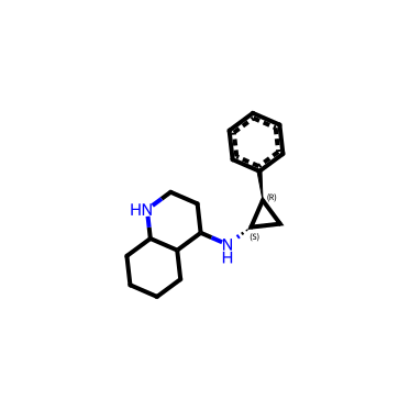 c1ccc([C@H]2C[C@@H]2NC2CCNC3CCCCC32)cc1